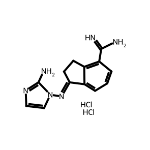 Cl.Cl.N=C(N)c1cccc2c1CCC2=Nn1ccnc1N